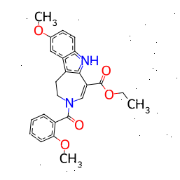 CCOC(=O)C1=CN(C(=O)c2ccccc2OC)CCc2c1[nH]c1ccc(OC)cc21